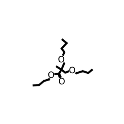 CCCCOCC(C)(COCCCC)C(=O)OCCCC